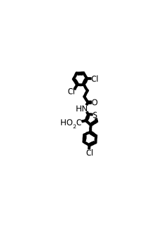 O=C(CCc1c(Cl)cccc1Cl)Nc1scc(-c2ccc(Cl)cc2)c1C(=O)O